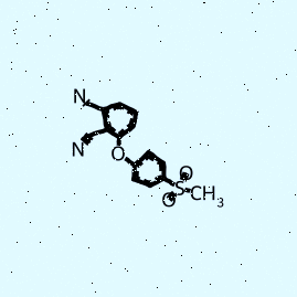 CS(=O)(=O)c1ccc(Oc2cccc(C#N)c2C#N)cc1